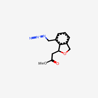 COC(=O)CC1OCc2cccc(CN=[N+]=[N-])c21